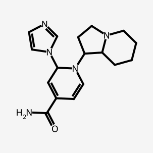 NC(=O)C1=CC(n2ccnc2)N(C2CCN3CCCCC23)C=C1